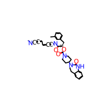 CN=C=C=CC=C=C=NC(=O)[C@@H](Cc1cccc(C)c1)OC(=O)N1CCC(N2CCc3ccccc3NC2=O)CC1